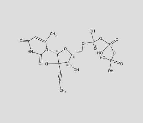 CC#CC1(Cl)[C@@H](O)[C@@H](COP(=O)(O)OP(=O)(O)OP(=O)(O)O)O[C@H]1n1c(C)cc(=O)[nH]c1=O